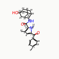 Cc1ccc(C(=O)c2cc(C)c(C(=O)NC3C4CC5CC3CC(O)(C5)C4)n2C)cc1